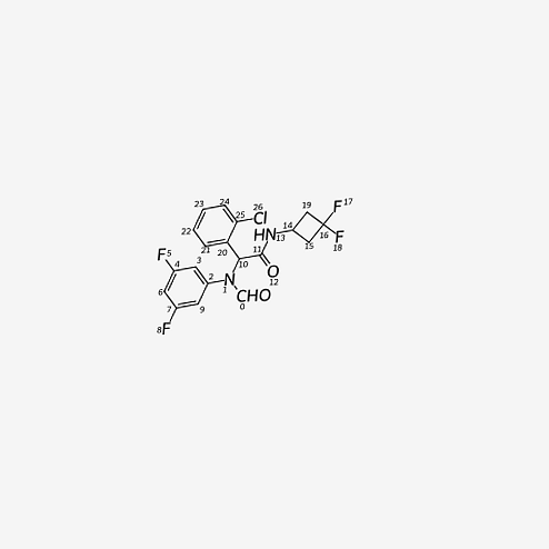 O=CN(c1cc(F)cc(F)c1)C(C(=O)NC1CC(F)(F)C1)c1ccccc1Cl